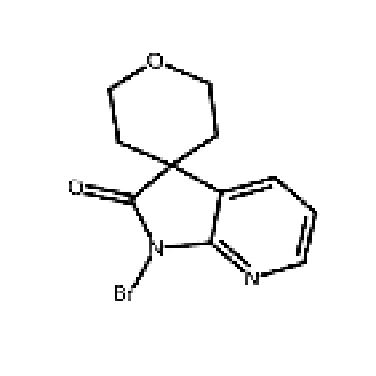 O=C1N(Br)c2ncccc2C12CCOCC2